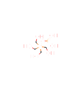 OCP(CO)(CO)(CO)OP(O)O